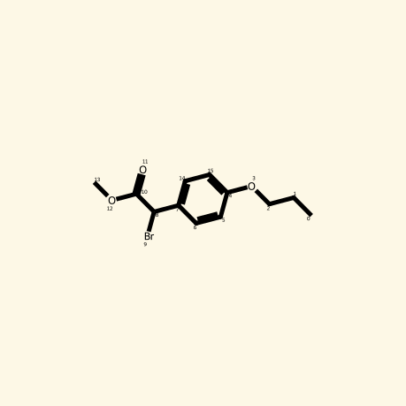 CCCOc1ccc(C(Br)C(=O)OC)cc1